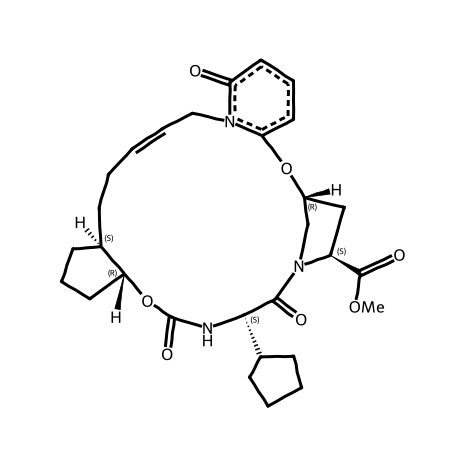 COC(=O)[C@@H]1C[C@@H]2CN1C(=O)[C@H](C1CCCC1)NC(=O)O[C@@H]1CCC[C@H]1CCC=CCn1c(cccc1=O)O2